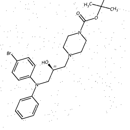 CC(C)(C)OC(=O)N1CCN(C[C@H](O)CN(c2ccccc2)c2ccc(Br)cc2)CC1